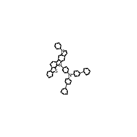 c1ccc(-c2ccc(N(c3ccc(-c4ccccc4)cc3)c3ccc(-n4c5cc6ccn(-c7ccccc7)c6cc5c5ccc6c7ccccc7sc6c54)cc3)cc2)cc1